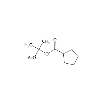 CC(=O)OC(C)(C)OC(=O)C1CCCC1